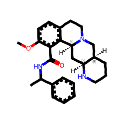 COc1ccc2c(c1C(=O)NC(C)c1ccccc1)[C@@H]1C[C@@H]3NCCC[C@@H]3CN1CC2